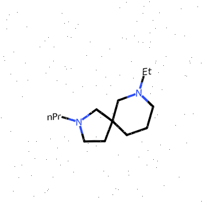 CCCN1CCC2(CCCN(CC)C2)C1